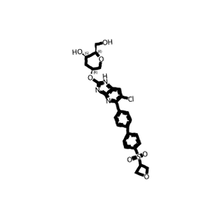 O=S(=O)(c1ccc(-c2ccc(-c3nc4nc(O[C@H]5CO[C@H](CO)[C@@H](O)C5)[nH]c4cc3Cl)cc2)cc1)C1COC1